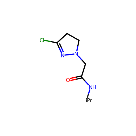 CC(C)NC(=O)CN1CCC(Cl)=N1